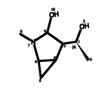 C[C@@H](O)C1C2CC2N(C)C1O